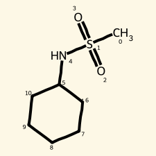 CS(=O)(=O)NC1[CH]CCCC1